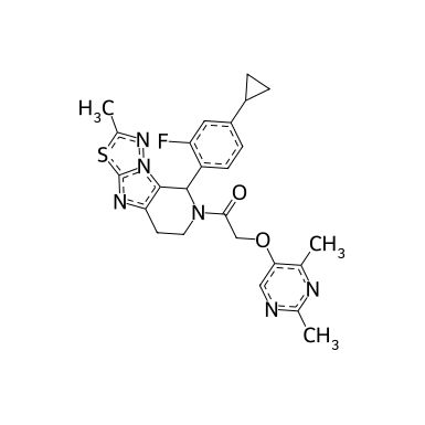 Cc1ncc(OCC(=O)N2CCc3nc4sc(C)nn4c3C2c2ccc(C3CC3)cc2F)c(C)n1